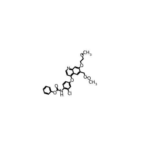 COCCOc1cc2nccc(Oc3ccc(NC(=O)Oc4ccccc4)c(Cl)c3)c2cc1COOC